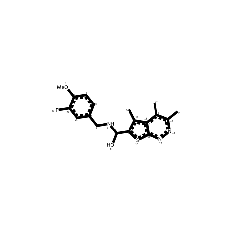 COc1ccc(CNC(O)c2sc3nnc(C)c(C)c3c2C)cc1F